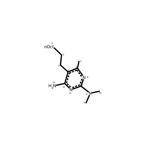 CCCCCCCCCCc1c(C)nc(N(C)C)nc1N